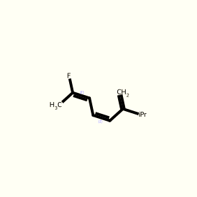 C=C(/C=C\C=C(/C)F)C(C)C